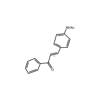 CC(=O)Nc1ccc(/C=C/C(=O)c2ccccc2)cc1